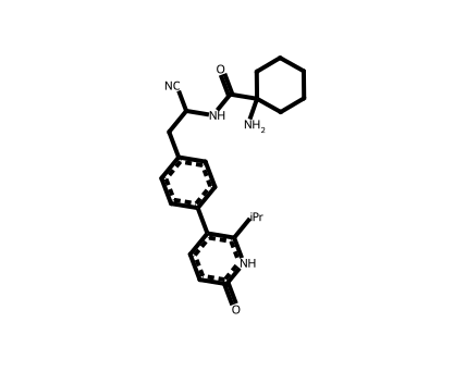 CC(C)c1[nH]c(=O)ccc1-c1ccc(CC(C#N)NC(=O)C2(N)CCCCC2)cc1